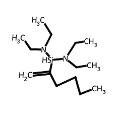 C=C(CCCC)[SiH](N(CC)CC)N(CC)CC